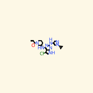 C=CC(=O)N1CCC[C@@H](Nc2nc(Nc3cnn(C4CC4)c3)nc3[nH]cc(Cl)c23)C1